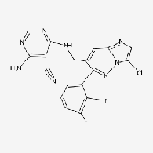 N#Cc1c(N)ncnc1NCc1cc2ncc(Cl)n2nc1-c1cccc(F)c1F